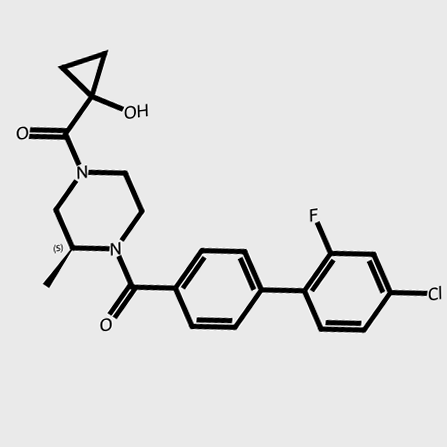 C[C@H]1CN(C(=O)C2(O)CC2)CCN1C(=O)c1ccc(-c2ccc(Cl)cc2F)cc1